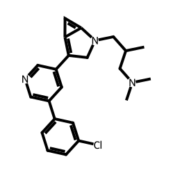 CC(CN(C)C)CN1CC(c2cncc(-c3cccc(Cl)c3)c2)=C2C=C21